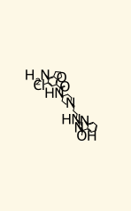 Nc1c(Cl)cc(C(=O)NC2CCN(CCCNc3nc(O)c4ccccc4n3)CC2)c2c1CCO2